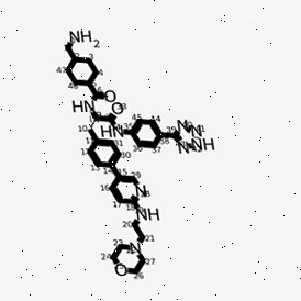 NCC1CCC(C(=O)N[C@@H](Cc2ccc(-c3ccc(NCCN4CCOCC4)nc3)cc2)C(=O)Nc2ccc(-c3nn[nH]n3)cc2)CC1